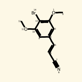 COc1cc(C=CC#N)cc(OC)c1Br